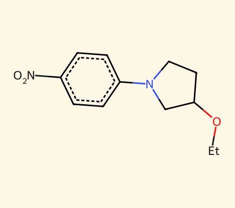 CCOC1CCN(c2ccc([N+](=O)[O-])cc2)C1